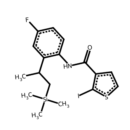 CC(C[Si](C)(C)C)c1cc(F)ccc1NC(=O)c1ccsc1I